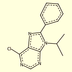 CC(C)n1c(-c2ccccc2)nc2c(Cl)ncnc21